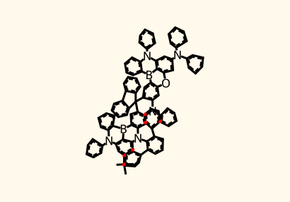 CC(C)(C)c1cc2c3c(c1)N(c1c(-c4ccccc4)cccc1-c1ccccc1)c1cc4c(cc1B3c1ccccc1N2c1ccccc1)C1(c2ccccc2-c2ccccc21)c1cc2c(cc1N4c1ccccc1)Oc1cc(N(c3ccccc3)c3ccccc3)cc3c1B2c1ccccc1N3c1ccccc1